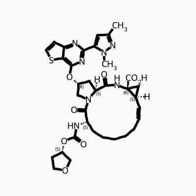 Cc1cc(-c2nc(O[C@@H]3C[C@H]4C(=O)N[C@]5(C(=O)O)C[C@H]5C=CCCCCC[C@H](NC(=O)O[C@H]5CCOC5)C(=O)N4C3)c3sccc3n2)n(C)n1